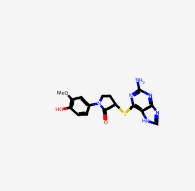 COc1cc(N2CCC(Sc3nc(N)nc4nc[nH]c34)C2=O)ccc1O